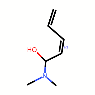 C=C/C=C\C(O)N(C)C